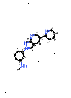 CNc1cccc(-n2cc3cc(-c4ccccn4)cnc3n2)c1